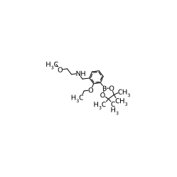 CCOc1c(CNCCOC)cccc1B1OC(C)(C)C(C)(C)O1